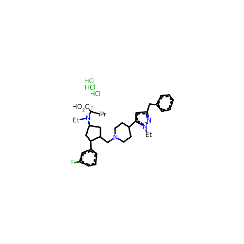 CCN(C1CC(CN2CCC(c3cc(Cc4ccccc4)nn3CC)CC2)C(c2cccc(F)c2)C1)[C@@H](C(=O)O)C(C)C.Cl.Cl.Cl